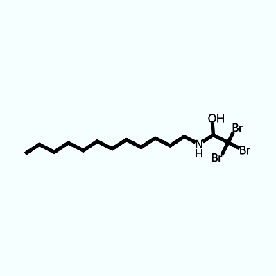 CCCCCCCCCCCCNC(O)C(Br)(Br)Br